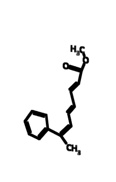 COC(=O)/C=C/C=C/C=C(/C)c1ccccc1